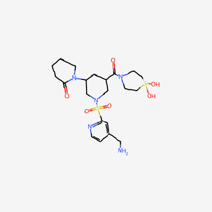 NCc1ccnc(S(=O)(=O)N2CC(C(=O)N3CCS(O)(O)CC3)CC(N3CCCCC3=O)C2)c1